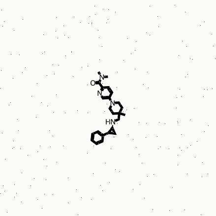 CN(C)C(=O)c1ccc(N2CCC(C)(CN[C@@H]3CC3c3ccccc3)CC2)cn1